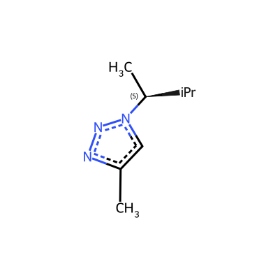 Cc1cn([C@@H](C)C(C)C)nn1